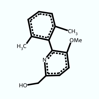 COc1ccc(CO)nc1-c1c(C)cccc1C